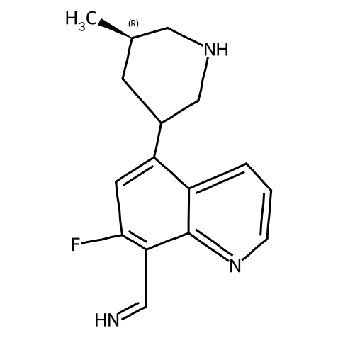 C[C@H]1CNCC(c2cc(F)c(C=N)c3ncccc23)C1